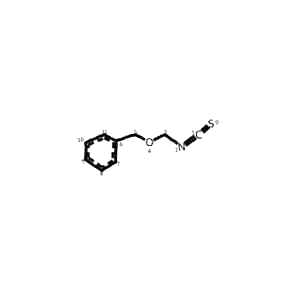 S=C=NCOCc1ccccc1